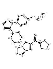 Cl.Cl.Cl.O=C(C1=CC2=CC=C[N@@+]2(N2CCN(c3ccnn3-c3ccc(F)cc3)CC2)C1)N1CCSC1